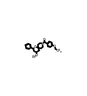 CCOC1CC(c2ccccc2)OC2(CCN(C(=O)c3ccc(OCC(F)(F)F)cc3)CC2)C1